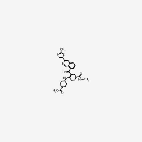 CNC(=O)N1CCC(NC2CCN(C(C)=O)CC2)=C(C(=N)c2cccc3cc(-c4cnc(C)s4)ncc23)C1